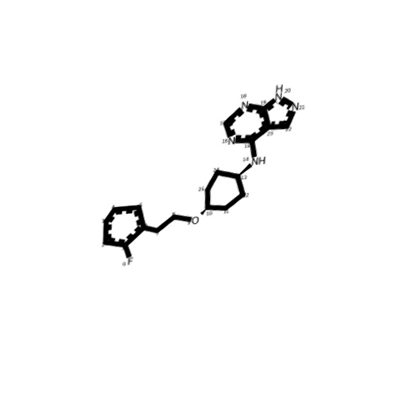 Fc1ccccc1CCO[C@H]1CC[C@H](Nc2ncnc3[nH]ncc23)CC1